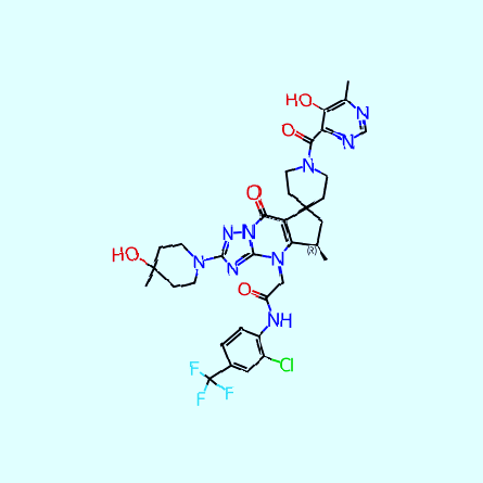 Cc1ncnc(C(=O)N2CCC3(CC2)C[C@@H](C)c2c3c(=O)n3nc(N4CCC(C)(O)CC4)nc3n2CC(=O)Nc2ccc(C(F)(F)F)cc2Cl)c1O